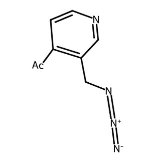 CC(=O)c1ccncc1CN=[N+]=[N-]